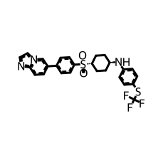 O=S(=O)(c1ccc(-c2ccc3nccn3c2)cc1)[C@H]1CC[C@H](Nc2ccc(SC(F)(F)F)cc2)CC1